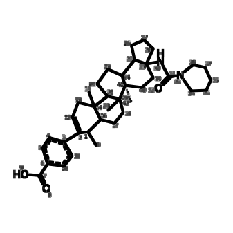 CC1C(c2ccc(C(=O)O)cc2)=CCC2(C)C1CCC1(C)C2CCC2C3CCCC3(NC(=O)N3CCCCC3)CC[C@]21C